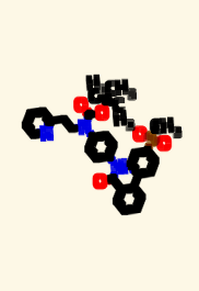 CC(C)(C)OC(=O)N(CCc1ccccn1)c1ccc(NC(=O)c2ccccc2-c2ccc(S(C)(=O)=O)cc2)cc1